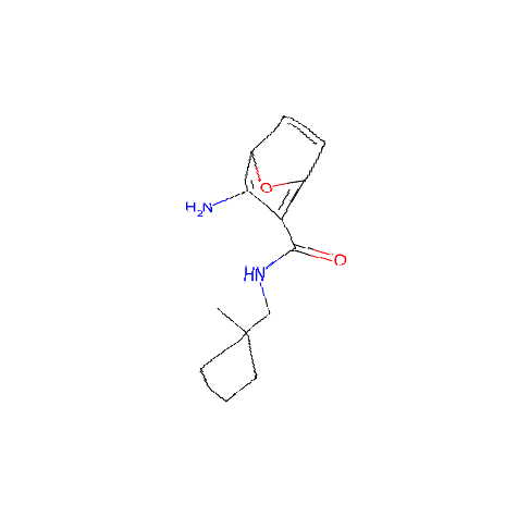 CC1(CNC(=O)c2c(N)c3ccc2o3)CCC1